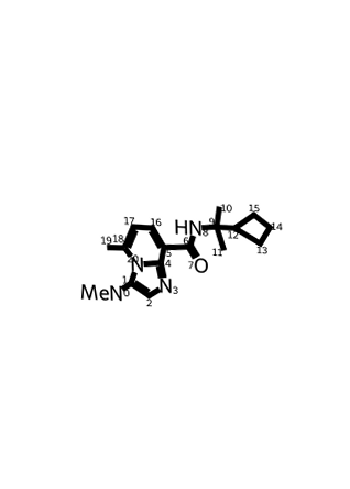 CNc1cnc2c(C(=O)NC(C)(C)C3CCC3)ccc(C)n12